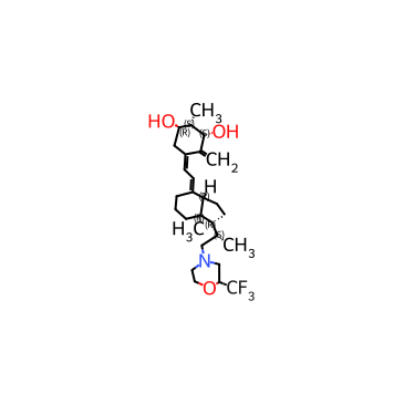 C=C1C(=CC=C2CCC[C@]3(C)[C@@H]([C@H](C)CN4CCOC(C(F)(F)F)C4)CC[C@@H]23)C[C@@H](O)[C@H](C)[C@@H]1O